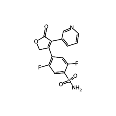 NS(=O)(=O)c1cc(F)c(C2=C(c3cccnc3)C(=O)OC2)cc1F